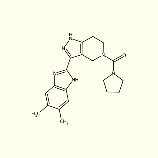 Cc1cc2nc(-c3n[nH]c4c3CN(C(=O)N3CCCC3)CC4)[nH]c2cc1C